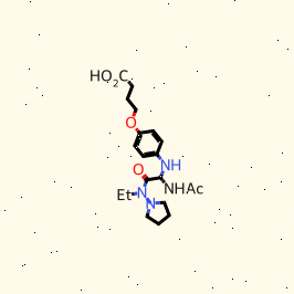 CCN(C(=O)C(NC(C)=O)Nc1ccc(OCCCC(=O)O)cc1)N1CCCC1